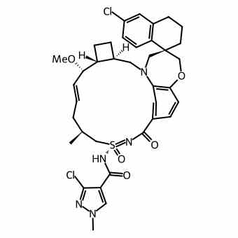 CO[C@H]1/C=C/C[C@H](C)C[S@@](=O)(NC(=O)c2cn(C)nc2Cl)=NC(=O)c2ccc3c(c2)N(C[C@@H]2CC[C@H]21)C[C@@]1(CCCc2cc(Cl)ccc21)CO3